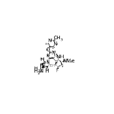 CNc1cc(F)cc2c1[nH]c1nc(Oc3cnc(C)nc3)nc(N3C[C@H]4[C@@H](C)[C@@H]3C[C@H]4N)c12